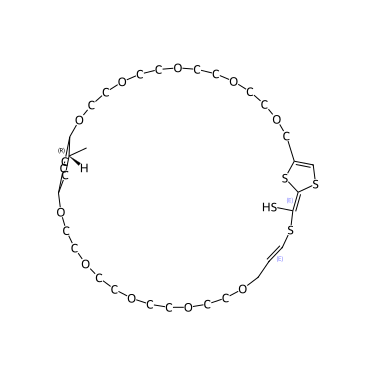 C[C@@H]1CC2CCC1OCCOCCOCCOCCOCC1=CS/C(=C(/S)S/C=C/COCCOCCOCCOCCO2)S1